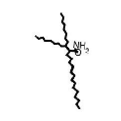 CCCCCCCCCCCCCCC(C(N)=O)C(CCCCCCCC)CCCCCCCC